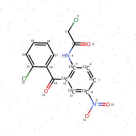 O=C(CCl)N[13c]1[13cH][13cH][13c]([N+](=O)[O-])[13cH][13c]1C(=O)c1ccccc1Cl